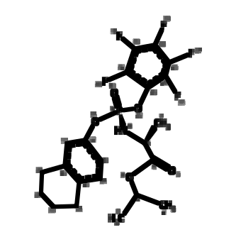 CC(C)OC(=O)[C@H](C)N[P@](=O)(Oc1ccc2c(c1)CCCC2)Oc1c(F)c(F)c(F)c(F)c1F